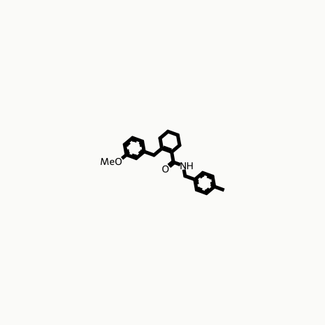 COc1cccc(CC2=C(C(=O)NCc3ccc(C)cc3)CCCC2)c1